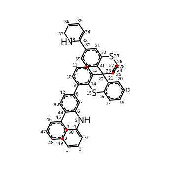 C1=CCCC(Nc2cc(-c3cccc4c3Sc3ccccc3C43c4ccccc4Sc4cc(C5=CC=CCN5)ccc43)ccc2-c2ccccc2)=C1